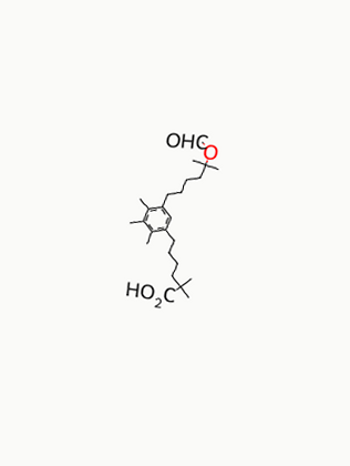 Cc1c(CCCCC(C)(C)OC=O)cc(CCCCC(C)(C)C(=O)O)c(C)c1C